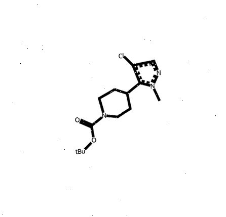 Cn1ncc(Cl)c1C1CCN(C(=O)OC(C)(C)C)CC1